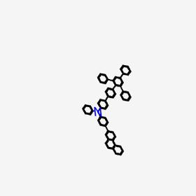 c1ccc(-c2cc(-c3ccccc3)c(-c3ccc(-c4ccc(N(c5ccccc5)c5ccc(-c6ccc7c(ccc8ccccc87)c6)cc5)cc4)cc3)c(-c3ccccc3)c2)cc1